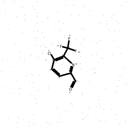 O=Cc1ccc(Cl)c(C(F)(F)F)n1